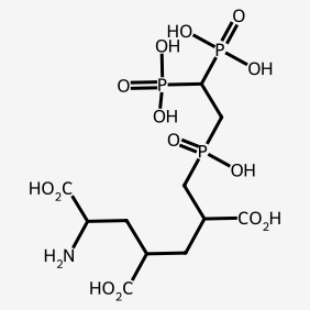 NC(CC(CC(CP(=O)(O)CC(P(=O)(O)O)P(=O)(O)O)C(=O)O)C(=O)O)C(=O)O